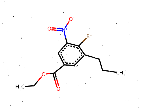 CCCc1cc(C(=O)OCC)cc([N+](=O)[O-])c1Br